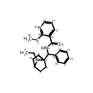 CCN1C2CCC1(C(NC(=O)c1cccnc1SC)c1ccccc1)CC2